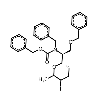 CC1O[C@H]([C@H](COCc2ccccc2)N(Cc2ccccc2)C(=O)OCc2ccccc2)CCC1I